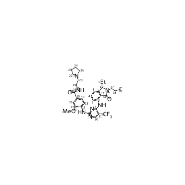 CCC1c2cccc(Nc3nc(Nc4ccc(C(=O)NCCN5CCCC5)cc4OC)ncc3C(F)(F)F)c2C(=O)N1CCF